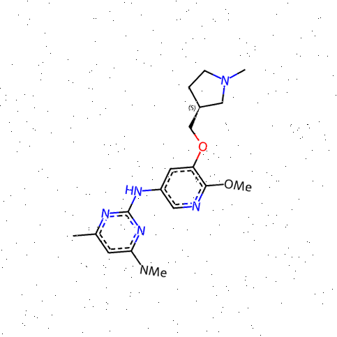 CNc1cc(C)nc(Nc2cnc(OC)c(OC[C@H]3CCN(C)C3)c2)n1